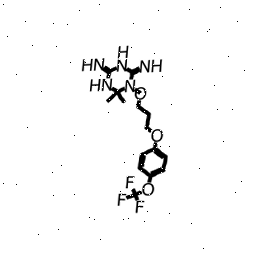 CC1(C)NC(=N)NC(=N)N1OCCCOc1ccc(OC(F)(F)F)cc1